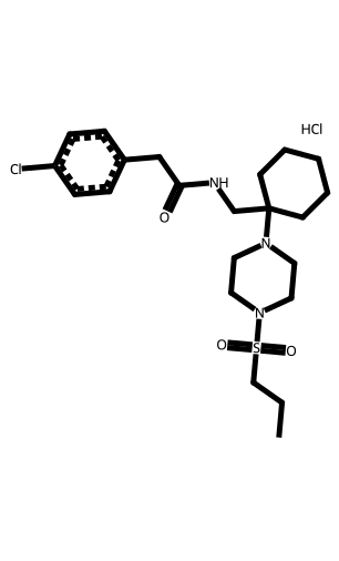 CCCS(=O)(=O)N1CCN(C2(CNC(=O)Cc3ccc(Cl)cc3)CCCCC2)CC1.Cl